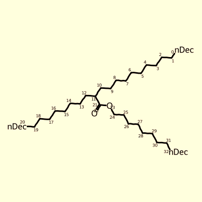 CCCCCCCCCCCCCCCCCCCCC(CCCCCCCCCCCCCCCCCC)C(=O)OCCCCCCCCCCCCCCCCCC